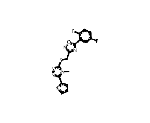 Cn1c(SCc2noc(-c3cc(F)ccc3F)n2)nnc1-c1cccs1